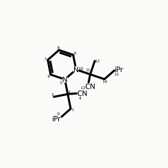 CC(C)CC(C)(C#N)N1C=CC=CN1C(C)(C#N)CC(C)C